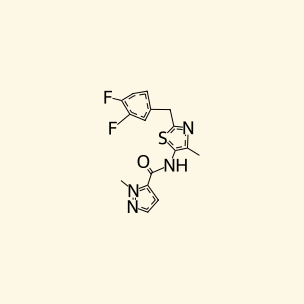 Cc1nc(Cc2ccc(F)c(F)c2)sc1NC(=O)c1ccnn1C